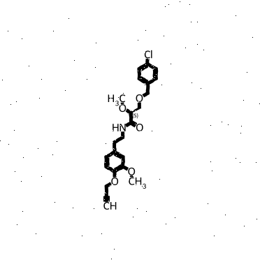 C#CCOc1ccc(CCNC(=O)[C@H](COCc2ccc(Cl)cc2)OC)cc1OC